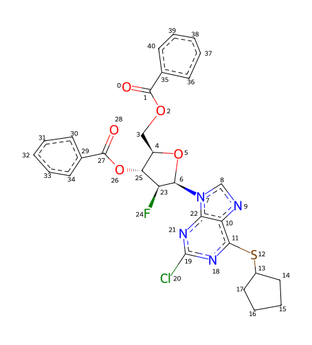 O=C(OC[C@H]1O[C@@H](n2cnc3c(SC4CCCC4)nc(Cl)nc32)[C@@H](F)[C@@H]1OC(=O)c1ccccc1)c1ccccc1